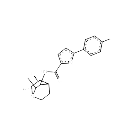 C[C@H]1[C@H](NC(=O)c2ccc(-c3ccc(Cl)cc3)[nH]2)C2CCN1CC2